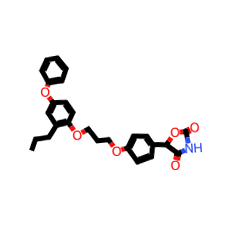 CCCc1cc(Oc2ccccc2)ccc1OCCCOc1ccc(C2OC(=O)NC2=O)cc1